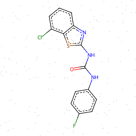 O=C(Nc1ccc(F)cc1)Nc1nc2cccc(Cl)c2s1